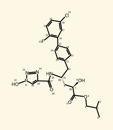 CC(C)COC(=O)[C@H](O)C[C@@H](Cc1ccc(-c2cc(Cl)ccc2F)cc1)NC(=O)c1cn(O)nn1